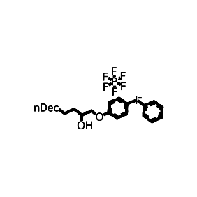 CCCCCCCCCCCCC(O)COc1ccc([I+]c2ccccc2)cc1.F[P-](F)(F)(F)(F)F